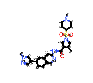 Cc1cn(S(=O)(=O)C2CCN(C)CC2)cc1C(=O)Nc1cc2cc(-c3cnn(C)c3)ccc2cn1